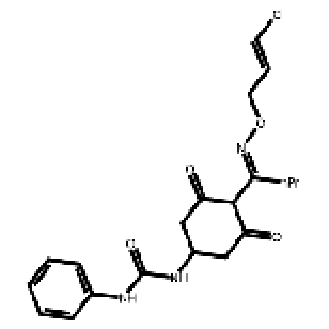 CCCC(=NOCC=CCl)C1C(=O)CC(NC(=O)Nc2ccccc2)CC1=O